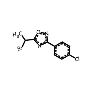 CC(Br)c1nc(-c2ccc(Cl)cc2)no1